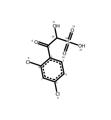 O=C(c1ccc(Cl)cc1Cl)C(O)S(=O)(=O)O